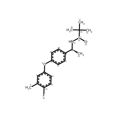 Cc1cc(Oc2ccc([C@H](C)N[S+]([O-])C(C)(C)C)cc2)ccc1F